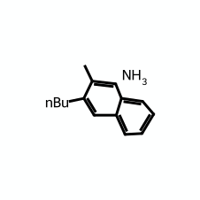 CCCCc1cc2ccccc2cc1C.N